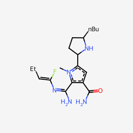 CC/C=C(F)/N=C(/N)c1c(C(N)=O)cc(C2CCC(CCCC)N2)n1C